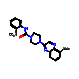 COc1cccc2nc(N3CCN(C(=O)Nc4ccccc4C(=O)O)CC3)cnc12